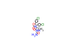 CCC(C(=O)NCC(N)=O)N1C(=O)COC(c2ccc(Cl)cc2)C1c1ccc(Cl)cc1